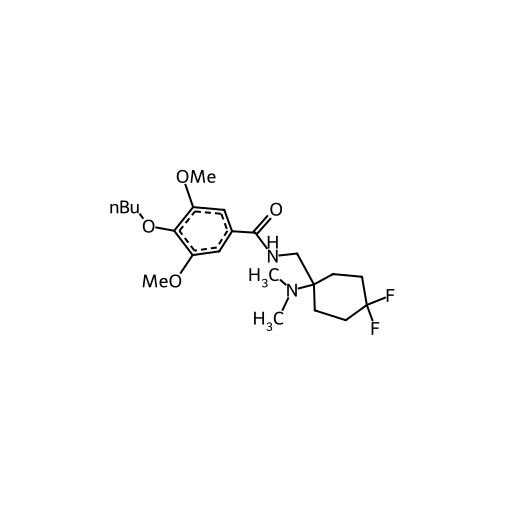 CCCCOc1c(OC)cc(C(=O)NCC2(N(C)C)CCC(F)(F)CC2)cc1OC